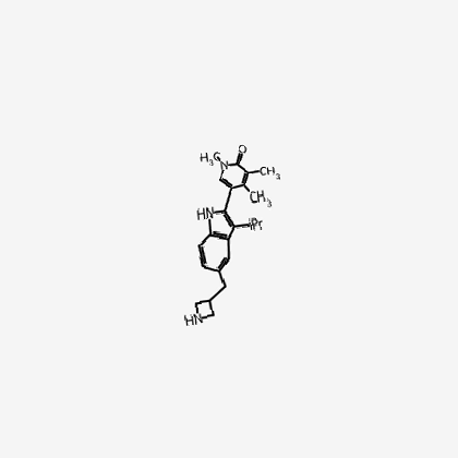 Cc1c(-c2[nH]c3ccc(CC4CNC4)cc3c2C(C)C)cn(C)c(=O)c1C